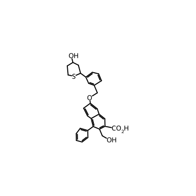 O=C(O)c1cc2cc(OCc3cccc(C4CC(O)CCS4)c3)ccc2c(-c2ccccc2)c1CO